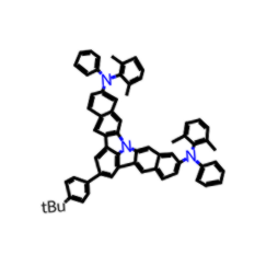 Cc1cccc(C)c1N(c1ccccc1)c1ccc2cc3c4cc(-c5ccc(C(C)(C)C)cc5)cc5c6cc7ccc(N(c8ccccc8)c8c(C)cccc8C)cc7cc6n(c3cc2c1)c45